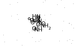 NC(=O)c1cc(OCCCC2COCCN2)c2c(c1)nc(Nc1cccnn1)n2CCCNC(=O)OCc1ccccc1